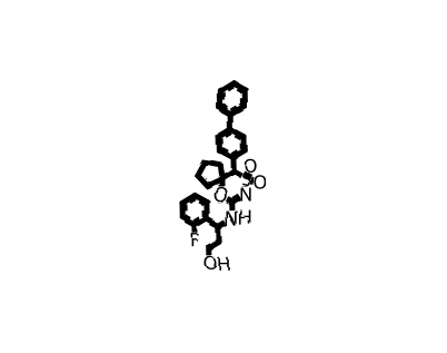 O=S1(=O)N=C(NC(CCO)c2ccccc2F)OC2(CCCC2)C1c1ccc(-c2ccccc2)cc1